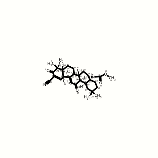 [CH2][C@]1(C)C(=O)C(C#N)=C[C@]2(C)C3=CC(=O)[C@@H]4[C@@H]5CC(C)(C)CC[C@]5(NC(=O)OC)CC[C@@]4(C)[C@]3(C)CC[C@@H]12